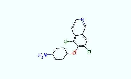 NC1CCC(Oc2c(Cl)cc3cnccc3c2Cl)CC1